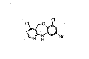 Clc1cc(Br)cc2c1OCc1c(Cl)ncnc1N2